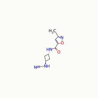 Cc1cc(C(=O)N[C@H]2C[C@H](NC#N)C2)on1